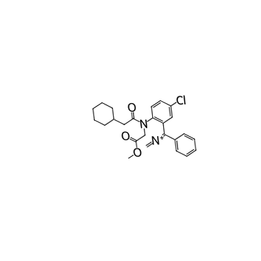 C=[N+]=C(c1ccccc1)c1cc(Cl)ccc1N(CC(=O)OC)C(=O)CC1CCCCC1